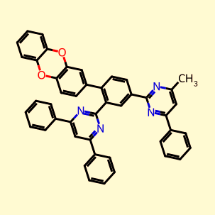 Cc1cc(-c2ccccc2)nc(-c2ccc(-c3ccc4c(c3)Oc3ccccc3O4)c(-c3nc(-c4ccccc4)cc(-c4ccccc4)n3)c2)n1